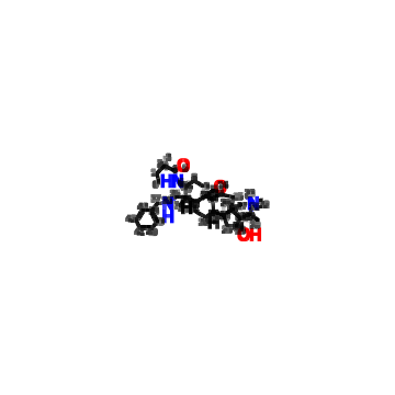 CC[C@H](C)C(=O)N[C@H]1CC[C@]23C[C@]24C(=O)C[C@]2(C)[C@@H]([C@H](C)N(C)C)[C@H](O)C[C@@]2(C)[C@@H]4CC[C@H]3[C@]1(C)CNCc1ccccc1